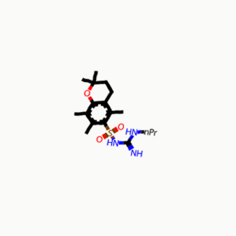 CCCNC(=N)NS(=O)(=O)c1c(C)c(C)c2c(c1C)CCC(C)(C)O2